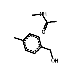 CNC(C)=O.Cc1ccc(CO)cc1